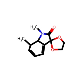 CC1C=CC=C2C1N(C)C(=O)C21OCCO1